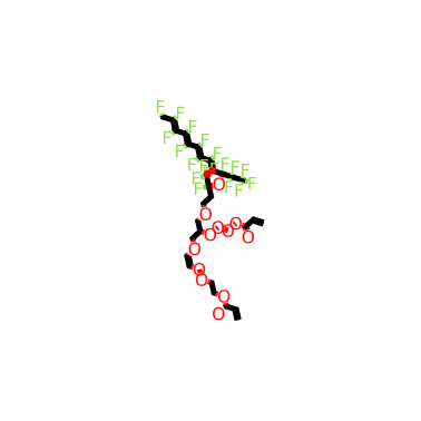 C=CC(=O)OCCOO/C=C\OCC(COCCC(F)(OC(F)(/C(F)=C(F)/C(F)=C(F)/C(F)=C(F)/C(F)=C(\F)CF)C(F)(F)C(F)(F)F)C(F)(F)F)OOOOC(=O)C=C